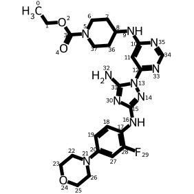 CCOC(=O)N1CCC(Nc2cc(-n3nc(Nc4ccc(N5CCOCC5)cc4F)nc3N)ncn2)CC1